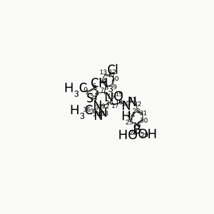 Cc1sc2c(c1C)C(c1ccc(Cl)cc1)=N[C@@H](CC(=O)N/N=C\c1ccc(B(O)O)cc1)c1nnc(C)n1-2